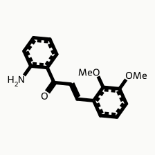 COc1cccc(C=CC(=O)c2ccccc2N)c1OC